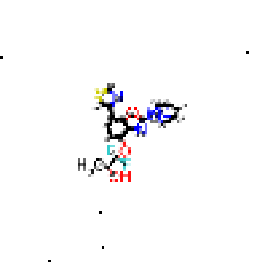 CC(O)C(F)(F)Oc1ccc(-c2cscn2)c2oc(N3CC4CC(C3)N4)nc12